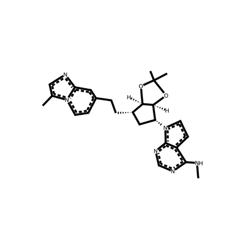 CNc1ncnc2c1ccn2[C@@H]1C[C@H](CCc2ccn3c(C)cnc3c2)[C@H]2OC(C)(C)O[C@H]21